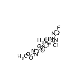 COC(=O)c1ncc(S(=O)(=O)N2CC[C@@H](c3[nH]c(-c4ccc(F)cn4)nc3Cl)[C@@H](C)C2)cn1